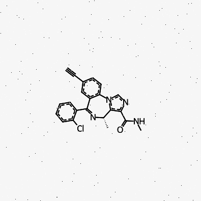 C#Cc1ccc2c(c1)C(c1ccccc1Cl)=N[C@@H](C)c1c(C(=O)NC)ncn1-2